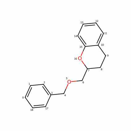 c1ccc(COCC2CCc3ccccc3O2)cc1